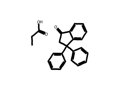 CCC(=O)O.O=C1CC(c2ccccc2)(c2ccccc2)c2ccccc21